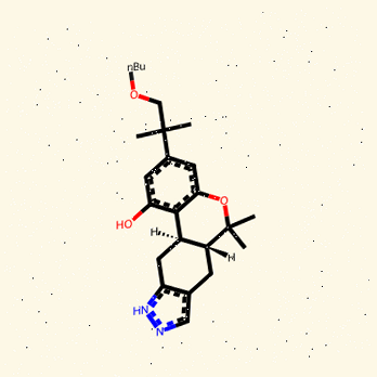 CCCCOCC(C)(C)c1cc(O)c2c(c1)OC(C)(C)[C@@H]1Cc3cn[nH]c3C[C@@H]21